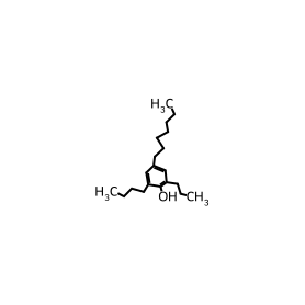 CCCCCCCc1cc(CCC)c(O)c(CCCC)c1